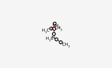 CC1=CC2c3c(-c4ccccc4)ccc(-c4ccc(N(C)c5ccc(-c6ccc(C)cc6)cc5)cc4)c3C1CC2C(C)C